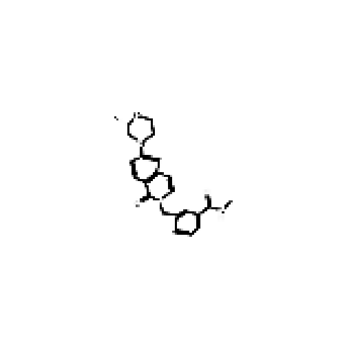 CNC(=O)c1cccc(Cn2ccc3cc(N4CCO[C@@H](C)C4)ccc3c2=O)c1